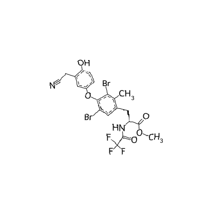 COC(=O)[C@H](Cc1cc(Br)c(Oc2ccc(O)c(CC#N)c2)c(Br)c1C)NC(=O)C(F)(F)F